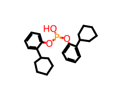 OP(Oc1ccccc1C1CCCCC1)Oc1ccccc1C1CCCCC1